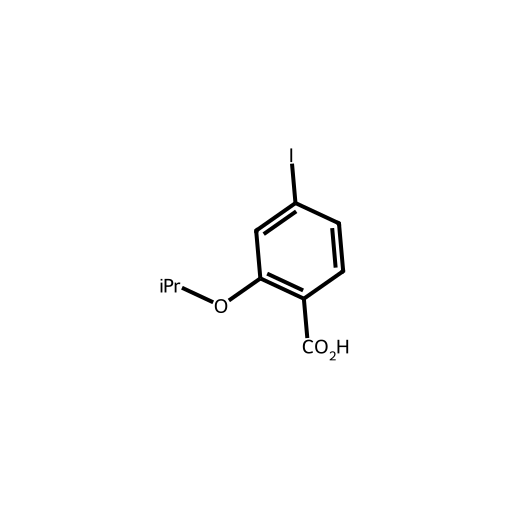 CC(C)Oc1cc(I)ccc1C(=O)O